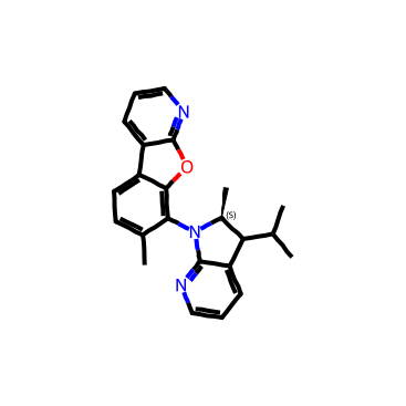 Cc1ccc2c(oc3ncccc32)c1N1c2ncccc2C(C(C)C)[C@@H]1C